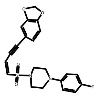 O=S(=O)(/C=C\C#Cc1ccc2c(c1)OCO2)N1CCN(c2ccc(F)cc2)CC1